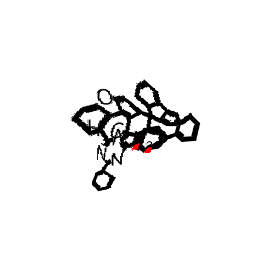 CC1(C)c2ccccc2C2(c3ccccc3-c3ccccc32)c2ccc3oc4cccc(-c5nc(-c6ccccc6)nc(-c6ccc(-c7ccccc7)cc6)n5)c4c3c21